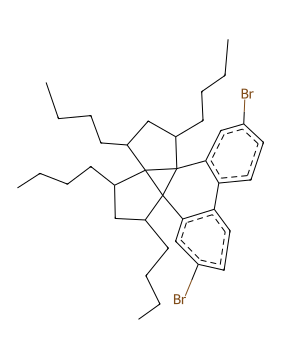 CCCCC1CC(CCCC)C23C(CCCC)CC(CCCC)C24c2cc(Br)ccc2-c2ccc(Br)cc2C143